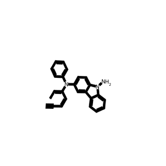 C#C/C=C\C(=C/C)N(c1ccccc1)c1ccc2c(c1)c1ccccc1n2N